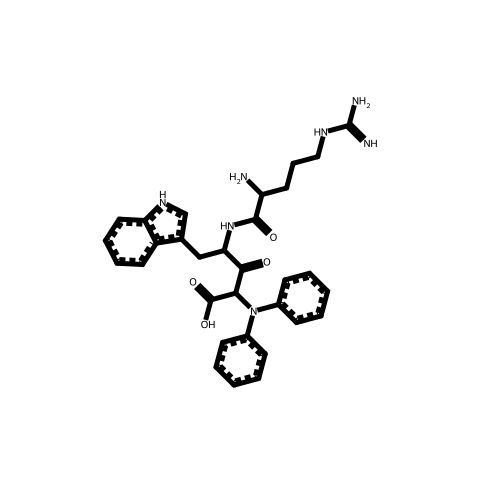 N=C(N)NCCCC(N)C(=O)NC(Cc1c[nH]c2ccccc12)C(=O)C(C(=O)O)N(c1ccccc1)c1ccccc1